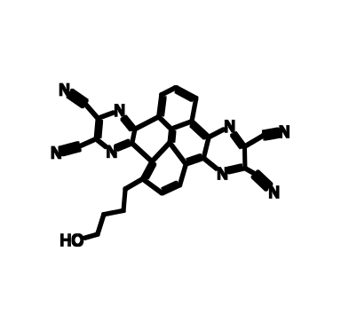 N#Cc1nc2c3cccc4c5nc(C#N)c(C#N)nc5c5c(CCCCO)ccc(c2nc1C#N)c5c34